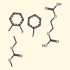 CCOC(=O)OC.Cc1ccccc1F.Fc1ccccc1.O=C(O)OCCOC(=O)O